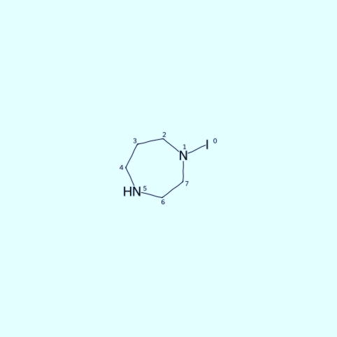 IN1CCCNCC1